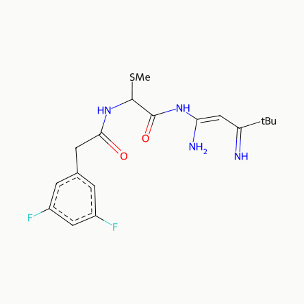 CSC(NC(=O)Cc1cc(F)cc(F)c1)C(=O)N/C(N)=C/C(=N)C(C)(C)C